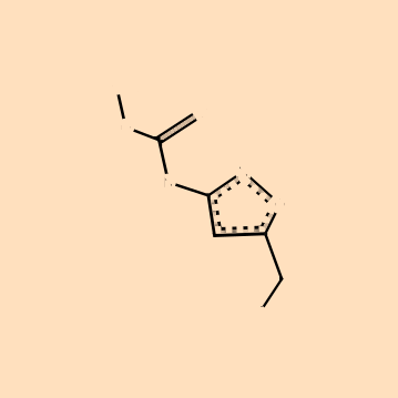 COC(=O)Nc1cc(CI)on1